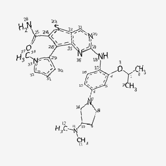 CC(C)Oc1cc(N2CCC(N(C)C)C2)ccc1Nc1ncc2sc(C(N)=O)c(-c3cccn3C)c2n1